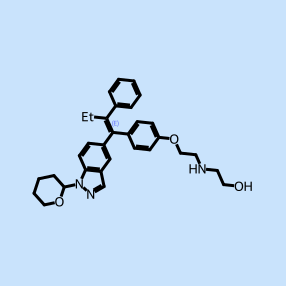 CC/C(=C(/c1ccc(OCCNCCO)cc1)c1ccc2c(cnn2C2CCCCO2)c1)c1ccccc1